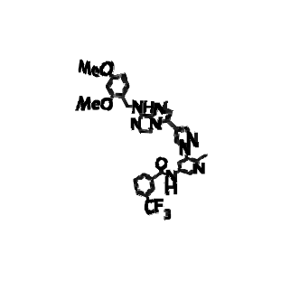 COc1ccc(CNc2nccn3c(-c4cnn(-c5cc(NC(=O)c6cccc(C(F)(F)F)c6)cnc5C)c4)cnc23)c(OC)c1